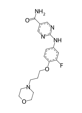 NC(=O)c1cnc(Nc2ccc(OCCCN3CCOCC3)c(F)c2)nc1